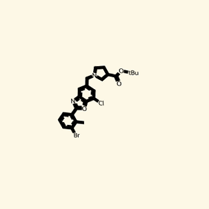 Cc1c(Br)cccc1-c1nc2cc(CN3CCC(C(=O)OC(C)(C)C)C3)cc(Cl)c2o1